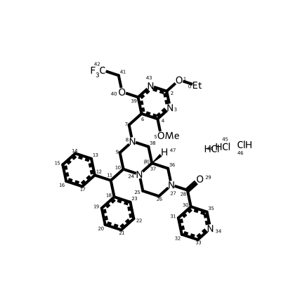 CCOc1nc(OC)c(CN2CC(C(c3ccccc3)c3ccccc3)N3CCN(C(=O)c4cccnc4)C[C@H]3C2)c(OCC(F)(F)F)n1.Cl.Cl.Cl